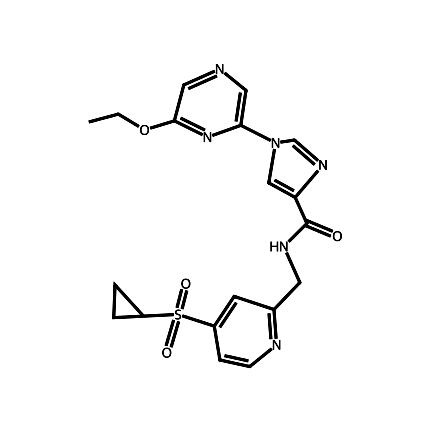 CCOc1cncc(-n2cnc(C(=O)NCc3cc(S(=O)(=O)C4CC4)ccn3)c2)n1